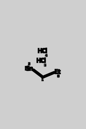 CC[CH2][Sn].Cl.Cl